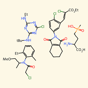 CCNc1nc(Cl)nc(NC(C)(C)C)n1.CCOC(=O)/C(Cl)=C/c1cc(N2C(=O)C3=C(CCCC3)C2=O)ccc1Cl.CCc1cccc(C)c1N(C(=O)CCl)C(C)COC.CP(=O)(O)CCC(N)C(=O)O